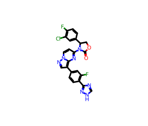 O=C1OCC(c2ccc(F)c(Cl)c2)N1c1ccn2ncc(-c3ccc(-c4nc[nH]n4)c(F)c3)c2n1